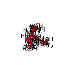 CCC(O)C(OC)C(O)C(O)Oc1c(I)c(C)c(C(=O)SC2C(O)CC(ONC3C(C)OC(O[C@H]4C#C/C=C\C#C[C@]5(O)CC(=O)C(NC(=O)OC)=C4/C5=C\CSSC(C)CCC(=O)NC4C(O)OC(CO)C(O)C4O)C(OC4CC(OC)C(N(CC)C(=O)CNC(=O)OCc5ccc(NC(=O)[C@H](C)NC(=O)[C@@H](NC(=O)CCCC(=O)O)C(C)C)cc5)CO4)C3O)OC2C)c(OC)c1OC